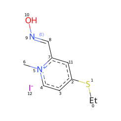 CCSc1cc[n+](C)c(/C=N/O)c1.[I-]